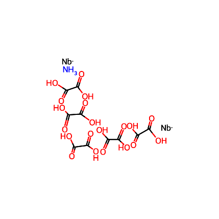 N.O=C(O)C(=O)O.O=C(O)C(=O)O.O=C(O)C(=O)O.O=C(O)C(=O)O.O=C(O)C(=O)O.[Nb].[Nb]